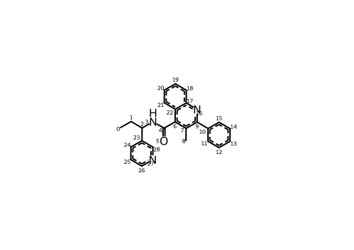 CCC(NC(=O)c1c(C)c(-c2ccccc2)nc2ccccc12)c1cccnc1